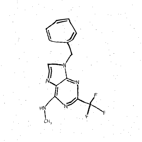 CNc1nc(C(F)(F)F)nc2c1ncn2Cc1ccccc1